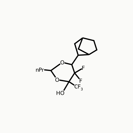 CCCC1OC(C2CC3CCC2C3)C(F)(F)C(O)(C(F)(F)F)O1